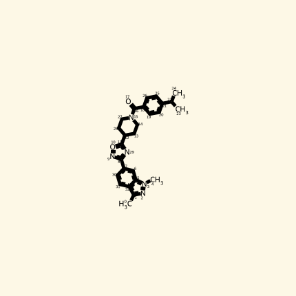 Cc1nn(C)c2cc(-c3noc(C4CCN(C(=O)c5ccc(C(C)C)cc5)CC4)n3)ccc12